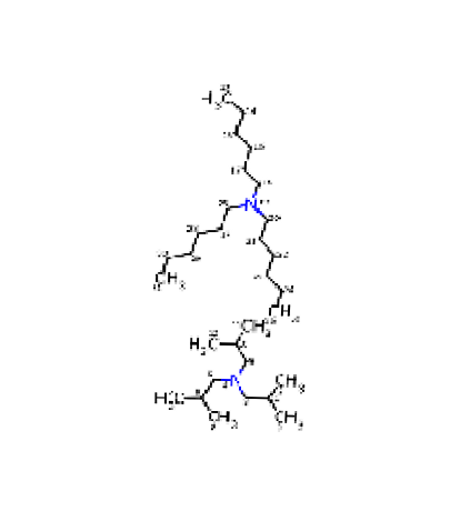 CC(C)CN(CC(C)C)CC(C)C.CCCCCCN(CCCCCC)CCCCCC